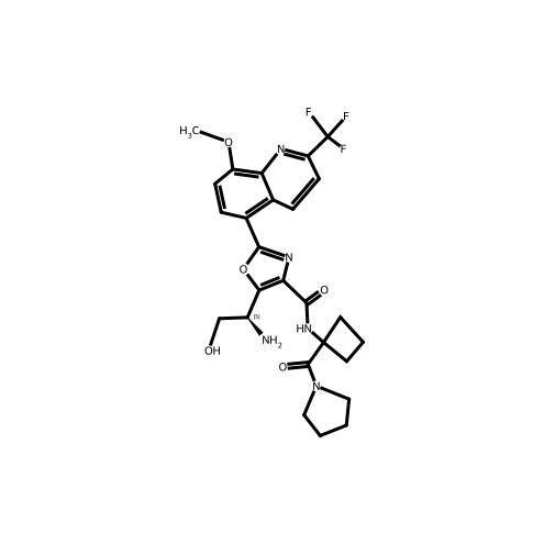 COc1ccc(-c2nc(C(=O)NC3(C(=O)N4CCCC4)CCC3)c([C@@H](N)CO)o2)c2ccc(C(F)(F)F)nc12